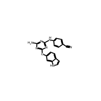 N#Cc1ccc(Nc2nc(N)nc(Oc3ccc4cc[nH]c4c3)n2)cc1